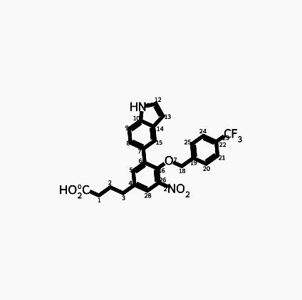 O=C(O)CCCc1cc(-c2ccc3[nH]ccc3c2)c(OCc2ccc(C(F)(F)F)cc2)c([N+](=O)[O-])c1